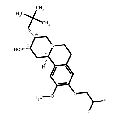 COc1cc2c(cc1OCC(F)F)CCN1C[C@@H](CC(C)(C)C)[C@@H](O)C[C@H]21